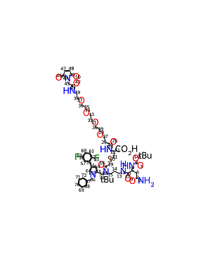 CC(C)(C)OC(=O)N[C@@H](CC(N)=O)C(=O)NCCCN(C(=O)CSC[C@H](NC(=O)CCOCCOCCOCCOCCNC(=O)CN1C(=O)C=CC1=O)C(=O)O)[C@@H](c1cc(-c2cc(F)ccc2F)cn1Cc1ccccc1)C(C)(C)C